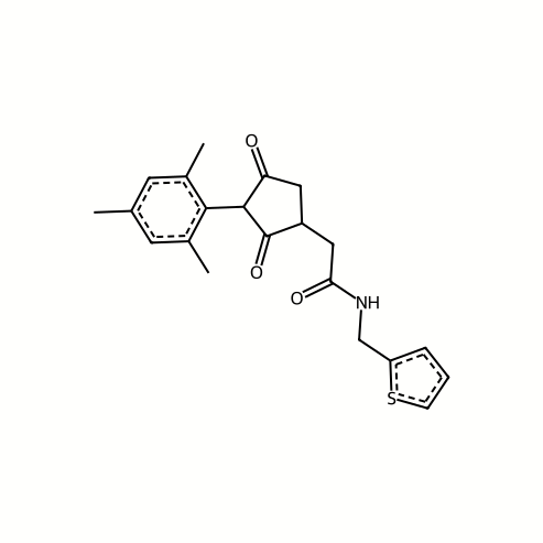 Cc1cc(C)c(C2C(=O)CC(CC(=O)NCc3cccs3)C2=O)c(C)c1